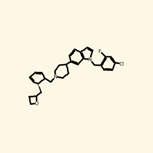 Fc1cc(Cl)ccc1Cn1ccc2ccc(C3CCN(CC4C=CC=C[C@@H]4CC4CCO4)CC3)cc21